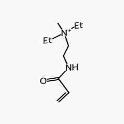 C=CC(=O)NCC[N+](C)(CC)CC